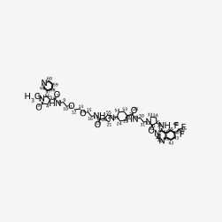 CN1C(=O)C[C@H](C(=O)NCCOCCOCCNC(=O)C2CN(C3CCC(C(=O)NCCN4CC[C@H](Nc5ncnc6ccc(C(F)(F)F)cc56)C4=O)CC3)C2)[C@H]1c1cccnc1